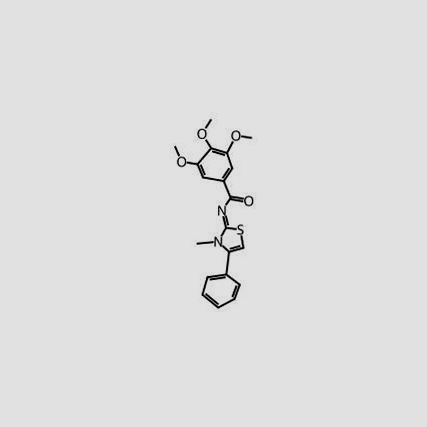 COc1cc(C(=O)N=c2scc(-c3ccccc3)n2C)cc(OC)c1OC